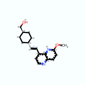 COc1ccc2nccc(/C=C/[C@H]3CC[C@H](CO)CC3)c2n1